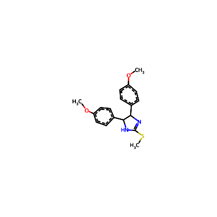 COc1ccc(C2N=C(SC)NC2c2ccc(OC)cc2)cc1